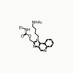 CCNC(=O)OCc1nc2cnc3ccccc3c2n1CCCCNC(C)=O